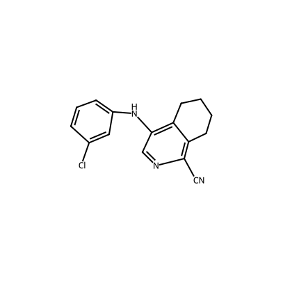 N#Cc1ncc(Nc2cccc(Cl)c2)c2c1CCCC2